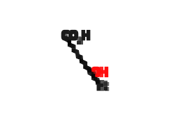 CC/C=C/CC(O)/C=C/C=C/C/C=C/C/C=C/CCCC(=O)O